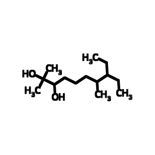 CCC(CC)C(C)CCCC(O)C(C)(C)O